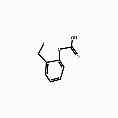 O=C(O)Oc1ccccc1CI